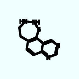 c1ncc2c3c(ccc2n1)CCNNS3